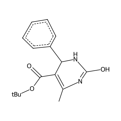 CC1=C(C(=O)OC(C)(C)C)C(c2ccccc2)NC(O)=N1